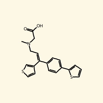 CN(C/C=C(/c1ccc(-c2cccs2)cc1)c1ccsc1)CC(=O)O